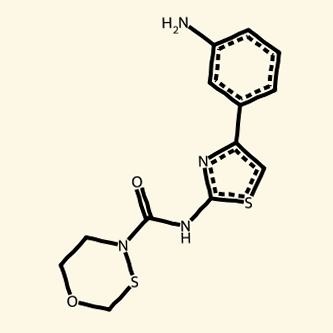 Nc1cccc(-c2csc(NC(=O)N3CCOCS3)n2)c1